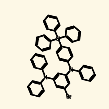 Brc1cc(N(c2ccccc2)c2ccccc2)cc(N(c2ccccc2)c2ccc([Si](c3ccccc3)(c3ccccc3)c3ccccc3)cc2)c1